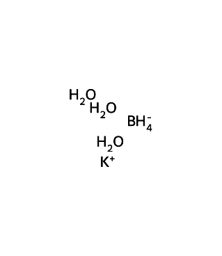 O.O.O.[BH4-].[K+]